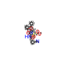 COC(=O)CC[S+]([O-])C1C(NC(=O)Cc2cccc(C#N)c2)C(=O)N1C(C(=O)OC(c1ccccc1)c1ccccc1)=C(C)C